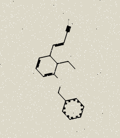 CCC1C(OCc2ccccc2)=CC=CC1C=CC#N